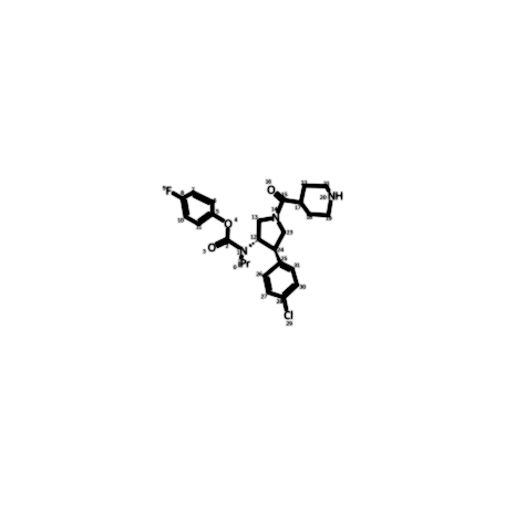 CC(C)N(C(=O)Oc1ccc(F)cc1)[C@@H]1CN(C(=O)C2CCNCC2)C[C@H]1c1ccc(Cl)cc1